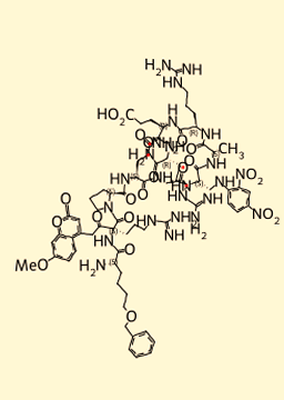 COc1ccc2c(CC(=O)[C@](CCCNC(=N)N)(NC(=O)[C@@H](N)CCCCOCc3ccccc3)C(=O)N3CCC[C@H]3C(=O)N[C@@H](CCC(N)=O)C(=O)NCC(=O)N[C@@H](CNc3ccc([N+](=O)[O-])cc3[N+](=O)[O-])C(=O)N[C@@H](C)C(=O)N[C@H](CCCNC(=N)N)C(=O)N[C@H](CCC(=O)O)C(=O)N[C@H](CCCNC(=N)N)C(N)=O)cc(=O)oc2c1